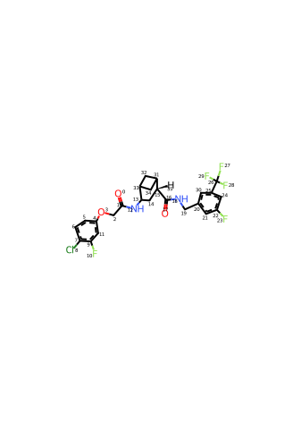 O=C(COc1ccc(Cl)c(F)c1)NC1C[C@@H](C(=O)NCc2cc(F)cc(C(F)(F)F)c2)C2CC1C2